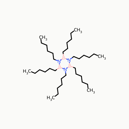 CCCCCCB1N(CCCCCC)B(CCCCCC)N(CCCCCC)B(CCCCCC)N1CCCCCC